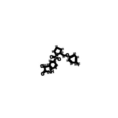 O=C1Nc2ccc(S(=O)(=O)N3CCCC3COc3ccc(F)cc3)cc2C1=O